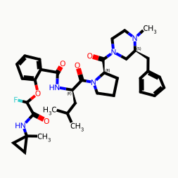 CC(C)C[C@@H](NC(=O)c1ccccc1OC(F)C(=O)NC1(C)CC1)C(=O)N1CCC[C@@H]1C(=O)N1CCN(C)[C@@H](Cc2ccccc2)C1